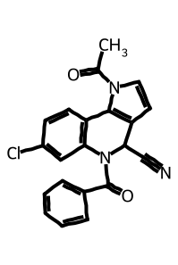 CC(=O)n1ccc2c1-c1ccc(Cl)cc1N(C(=O)c1ccccc1)C2C#N